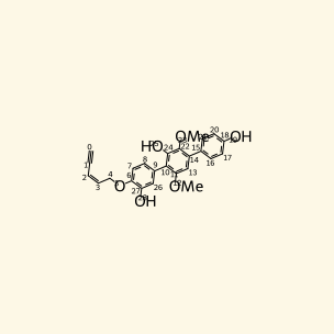 C#C/C=C\COc1ccc(-c2c(OC)cc(-c3ccc(O)cc3)c(OC)c2O)cc1O